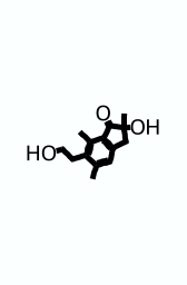 Cc1cc2c(c(C)c1CCO)C(=O)C(C)(O)C2